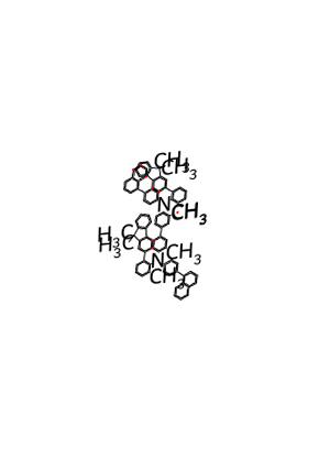 Cc1cc(-c2ccc(N(c3ccc(-c4cccc5ccccc45)cc3)c3c(C)cccc3-c3ccc4c(c3)C(C)(C)c3ccccc3-4)c(C)c2)ccc1N(c1ccc(-c2cccc3ccccc23)cc1)c1c(C)cccc1-c1ccc2c(c1)C(C)(C)c1ccccc1-2